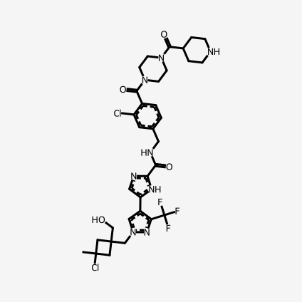 CC1(Cl)CC(CO)(Cn2cc(-c3cnc(C(=O)NCc4ccc(C(=O)N5CCN(C(=O)C6CCNCC6)CC5)c(Cl)c4)[nH]3)c(C(F)(F)F)n2)C1